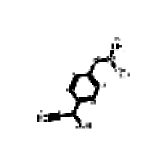 C#CC(O)c1ccc(SN(C)C)cc1